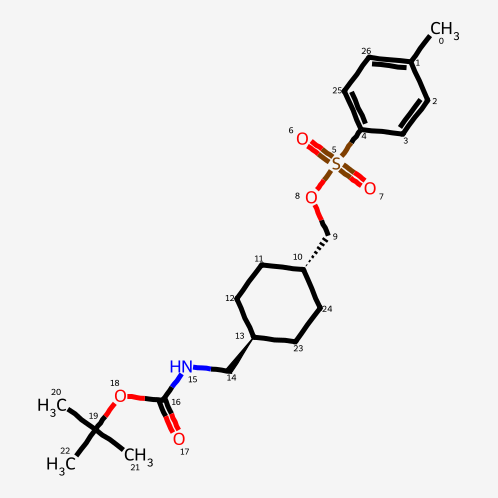 Cc1ccc(S(=O)(=O)OC[C@H]2CC[C@H](CNC(=O)OC(C)(C)C)CC2)cc1